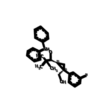 CC(C)(C)C(O[SiH](c1ccccc1)c1ccccc1)[C@@H]1C[C@@]1(CO)c1cccc(F)c1